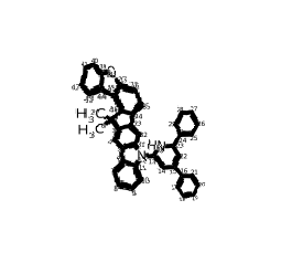 CC1(C)c2cc3c4ccccc4n(C4=CC(c5ccccc5)=CC(c5ccccc5)N4)c3cc2-c2ccc3oc4ccccc4c3c21